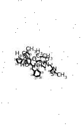 Cc1nc(CN2CCN([C@H](C(=O)N[C@@H](Cc3ccccc3)[C@H](O)CN(CC(C)C)S(=O)(=O)c3cccs3)C(C)C)C2=O)cs1